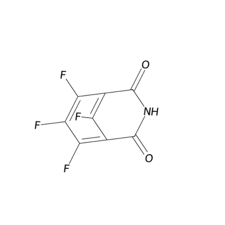 O=C1NC(=O)c2c(F)c(F)c(F)c1c2F